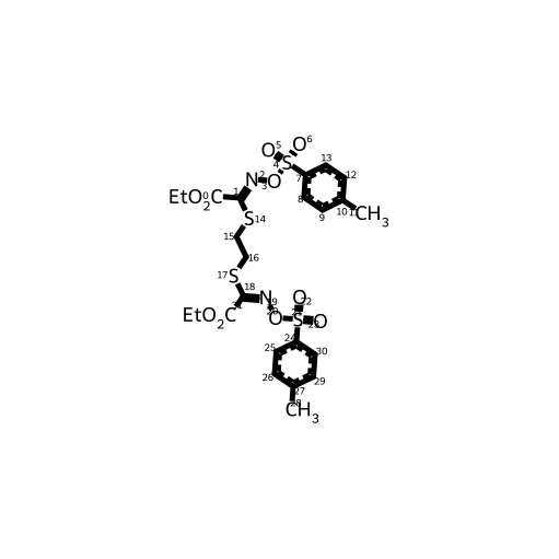 CCOC(=O)C(=NOS(=O)(=O)c1ccc(C)cc1)SCCSC(=NOS(=O)(=O)c1ccc(C)cc1)C(=O)OCC